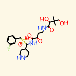 CC(C)(CO)C(O)C(=O)NCCC(=O)C(=O)NC(C1CCNCC1)S(=O)(=O)Cc1cccc(F)c1